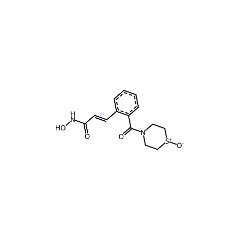 O=C(/C=C/c1ccccc1C(=O)N1CC[S+]([O-])CC1)NO